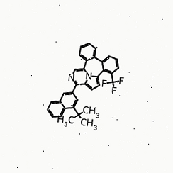 CC(C)(C)c1cc(-c2ncc3n4c(ccc24)-c2c(cccc2C(F)(F)F)-c2ccccc2-3)cc2ccccc12